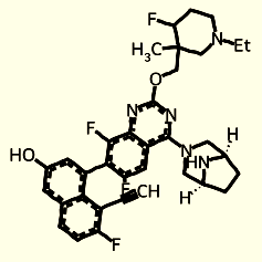 C#Cc1c(F)ccc2cc(O)cc(-c3c(F)cc4c(N5C[C@H]6CC[C@@H](C5)N6)nc(OCC5(C)CN(CC)CCC5F)nc4c3F)c12